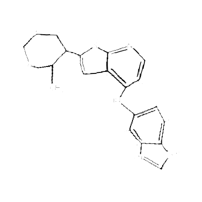 CC1NCCCC1c1cc2c(Nc3ccc4scnc4c3)ccnc2s1